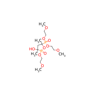 COCCOP1(=O)OC(C)(P(=O)(OCCOC)OCCOC)CC1(C)O